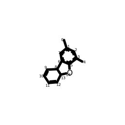 Cc1cc(C)c2c(c1)C1C=CC=CC1O2